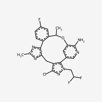 CC1Oc2cc(cnc2N)-c2c(c(Cl)nn2CC(F)F)Cc2nn(C)nc2-c2ccc(F)cc21